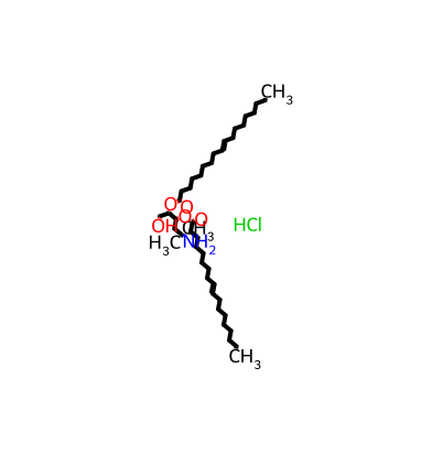 CCCCCCCCC=CCCCCCCCC(=O)OC(CO)C(CC(C)(C)N)OC(=O)CCCCCCCC=CCCCCCCCC.Cl